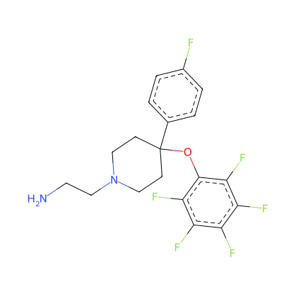 NCCN1CCC(Oc2c(F)c(F)c(F)c(F)c2F)(c2ccc(F)cc2)CC1